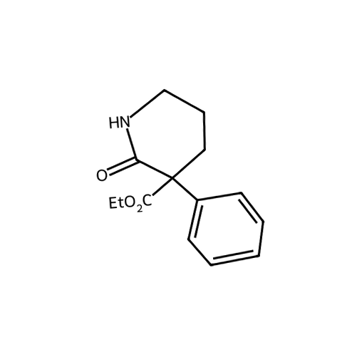 CCOC(=O)C1(c2ccccc2)CCCNC1=O